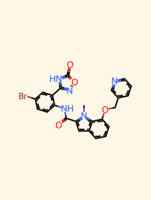 Cn1c(C(=O)Nc2ccc(Br)cc2-c2noc(=O)[nH]2)cc2cccc(OCc3cccnc3)c21